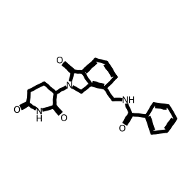 O=C1CCC(N2Cc3c(CNC(=O)c4ccccc4)cccc3C2=O)C(=O)N1